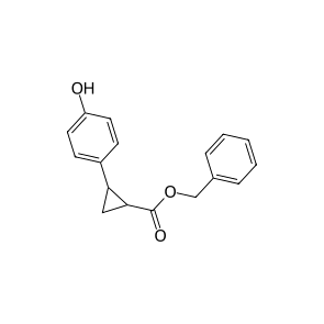 O=C(OCc1ccccc1)C1CC1c1ccc(O)cc1